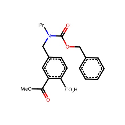 COC(=O)c1cc(CN(C(=O)OCc2ccccc2)C(C)C)ccc1C(=O)O